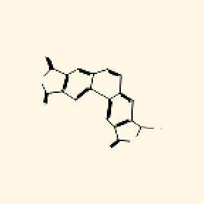 O=C1OC(=O)c2cc3c(ccc4cc5c(cc43)C(=O)OC5O)cc21